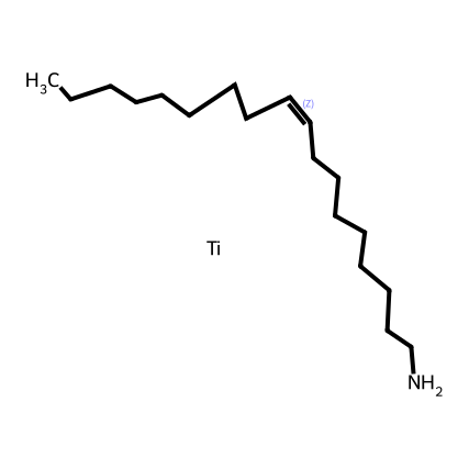 CCCCCCCC/C=C\CCCCCCCCN.[Ti]